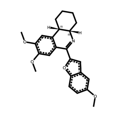 COc1ccc2oc(C3=N[C@H]4CCCC[C@H]4c4cc(OC)c(OC)cc43)cc2c1